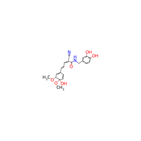 COC1C=C(C=CC=C(C#N)C(=O)NCc2ccc(O)c(O)c2)C=CC1(O)OC